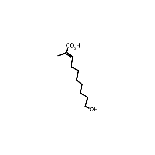 CC(=CCCCCCCCO)C(=O)O